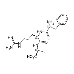 C[C@H](NC(=O)[C@@H](CCCNC(=N)N)NC(=O)[C@H](N)Cc1ccccc1)C(=O)O